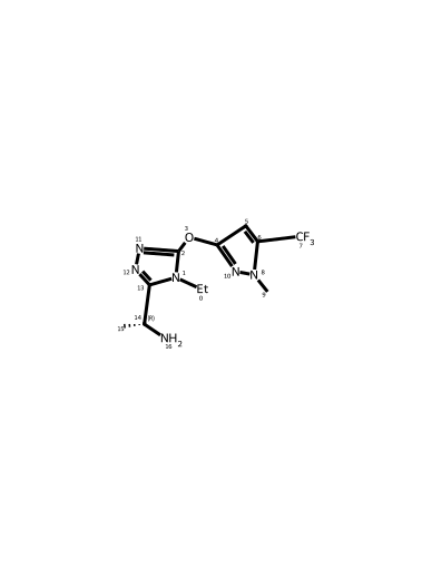 CCn1c(Oc2cc(C(F)(F)F)n(C)n2)nnc1[C@@H](C)N